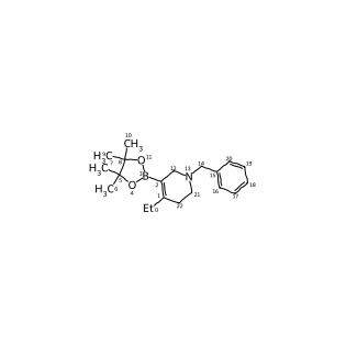 CCC1=C(B2OC(C)(C)C(C)(C)O2)CN(Cc2ccccc2)CC1